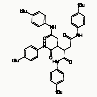 CC(C)(C)c1ccc(NC(=O)CC(C(=O)Nc2ccc(C(C)(C)C)cc2)C(CC(=O)Nc2ccc(C(C)(C)C)cc2)C(=O)Nc2ccc(C(C)(C)C)cc2)cc1